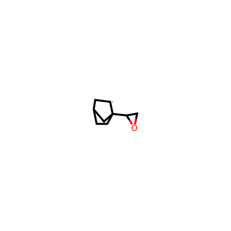 [CH]1CC2CCC1(C1CO1)C2